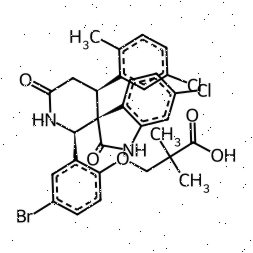 Cc1ccc(Cl)cc1[C@@H]1CC(=O)N[C@H](c2cc(Br)ccc2OCC(C)(C)C(=O)O)[C@@]12C(=O)Nc1cc(Cl)ccc12